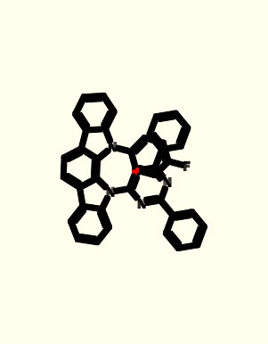 Fc1ccc(-n2c3ccccc3c3ccc4c5ccccc5n(-c5nc(-c6ccccc6)nc(-c6ccccc6)n5)c4c32)cc1